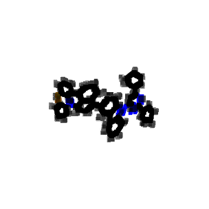 c1ccc(-c2cc(-n3c4ccccc4c4cc(-c5ccc6c7c5cccc7c5cccc7sc8ccccc8n6-c75)ccc43)nc(-c3ccccc3)n2)cc1